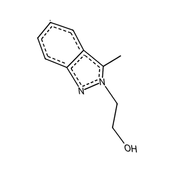 Cc1c2c[c]ccc2nn1CCO